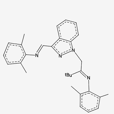 Cc1cccc(C)c1/N=C/c1nn(C/C(=N/c2c(C)cccc2C)C(C)(C)C)c2ccccc12